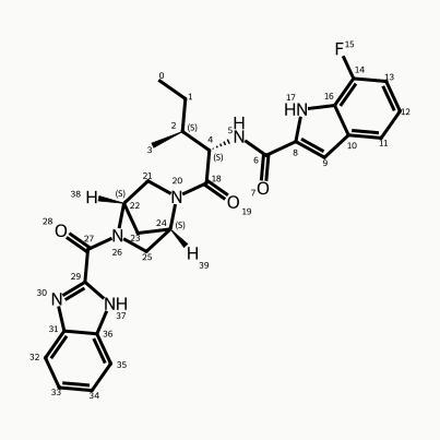 CC[C@H](C)[C@H](NC(=O)c1cc2cccc(F)c2[nH]1)C(=O)N1C[C@@H]2C[C@H]1CN2C(=O)c1nc2ccccc2[nH]1